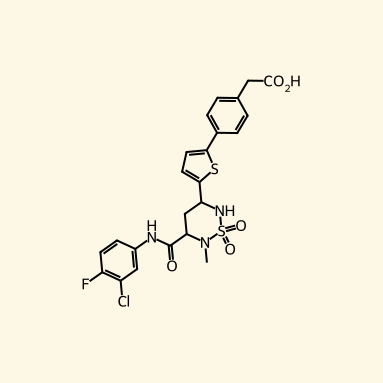 CN1C(C(=O)Nc2ccc(F)c(Cl)c2)CC(c2ccc(-c3ccc(CC(=O)O)cc3)s2)NS1(=O)=O